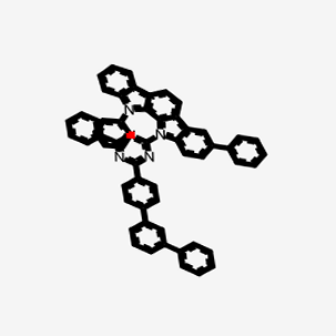 c1ccc(-c2cccc(-c3ccc(-c4nc(-c5ccccc5)nc(-n5c6ccc(-c7ccccc7)cc6c6ccc7c8ccccc8n(-c8ccccc8)c7c65)n4)cc3)c2)cc1